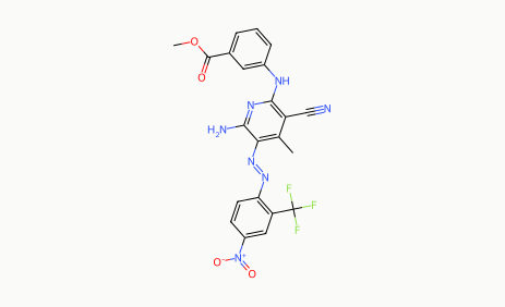 COC(=O)c1cccc(Nc2nc(N)c(/N=N/c3ccc([N+](=O)[O-])cc3C(F)(F)F)c(C)c2C#N)c1